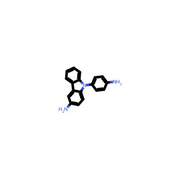 Nc1ccc(-n2c3ccccc3c3cc(N)ccc32)cc1